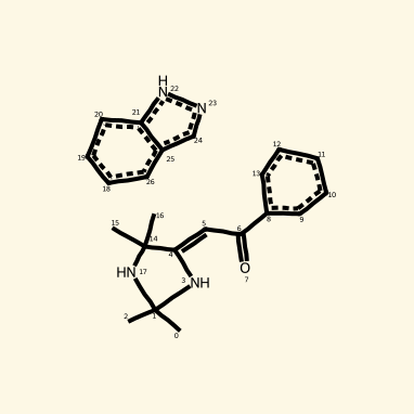 CC1(C)NC(=CC(=O)c2ccccc2)C(C)(C)N1.c1ccc2[nH]ncc2c1